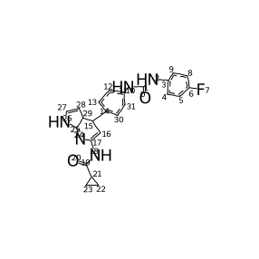 O=C(Nc1ccc(F)cc1)Nc1ccc(C2C=C(NC(=O)C3CC3)N=C3NC=CC32)cc1